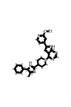 CCOc1cc(-c2cc3c(N4CCC(c5nc(C)c(-c6ccccc6)[nH]5)CC4)ncnc3[nH]2)ccn1